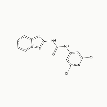 O=C(Nc1cc(Cl)nc(Cl)c1)Nc1cc2ccccn2n1